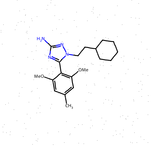 COc1cc(C)cc(OC)c1-c1nc(N)nn1CCC1CCCCC1